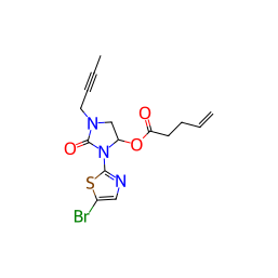 C=CCCC(=O)OC1CN(CC#CC)C(=O)N1c1ncc(Br)s1